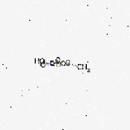 C=CCCCCOC1CCC(OC(=O)c2ccc(/C=C/C(=O)O)cc2)CC1